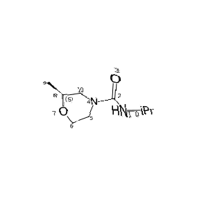 CC(C)NC(=O)N1CCO[C@@H](C)C1